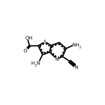 N#Cc1nc2c(N)c(C(=O)O)sc2cc1N